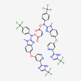 Cn1c(N(OC(=O)/C=C\C(=O)ON(c2ccc(C(F)(F)F)cc2)c2nc3cc(Oc4ccnc(-c5ncc(C(F)(F)F)[nH]5)c4)ccc3n2C)c2ccc(C(F)(F)F)cc2)nc2cc(Oc3ccnc(-c4ncc(C(F)(F)F)[nH]4)c3)ccc21